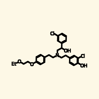 CCOCCOc1ccc(CCN(CCc2ccc(O)c(Cl)c2)CC(O)c2cccc(Cl)c2)cc1